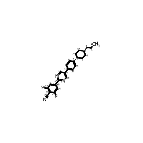 CCC[C@H]1CC[C@H](c2ccc(-c3cnc(-c4cc(F)c(C#N)c(F)c4)nc3)cc2)CC1